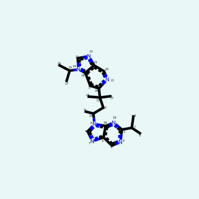 CC(C)c1ncc2ncn(C(C)CC(C)(C)c3cc4c(cn3)ncn4C(C)C)c2n1